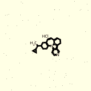 CC(C1CC1)C1CCC2=C(C=CC3=CCCc4c3n2c2ccncc42)C1.Cl